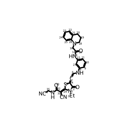 CCn1c(=O)c(=C=CNc2cccc(NC(=O)CN3CCCc4ccccc43)c2)s/c1=C(/C#N)C(=O)NCC#N